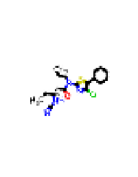 CCCN(C(=O)C[C@@H](CC)NC#N)c1nc(Cl)c(C2CCCCC2)s1